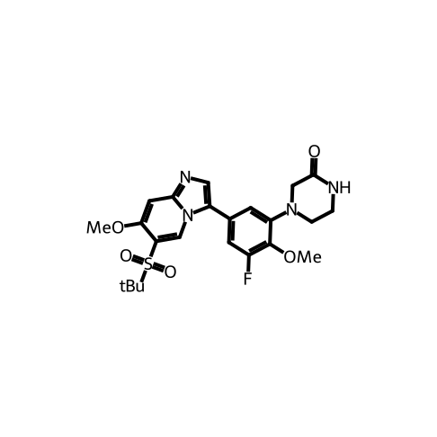 COc1cc2ncc(-c3cc(F)c(OC)c(N4CCNC(=O)C4)c3)n2cc1S(=O)(=O)C(C)(C)C